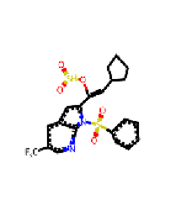 O=[SH](=O)OC(=CC1CCCC1)c1cc2cc(C(F)(F)F)cnc2n1S(=O)(=O)c1ccccc1